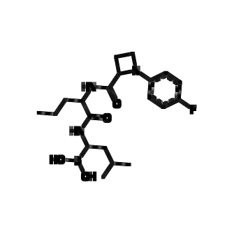 CCCC(NC(=O)C1CCN1c1ccc(F)cc1)C(=O)NC(CC(C)C)B(O)O